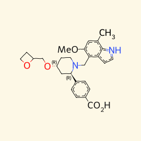 COc1cc(C)c2[nH]ccc2c1CN1CC[C@@H](OCC2CCO2)C[C@@H]1c1ccc(C(=O)O)cc1